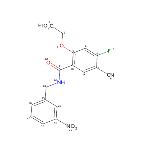 CCOC(=O)COc1cc(F)c(C#N)cc1C(=O)NCc1cccc([N+](=O)[O-])c1